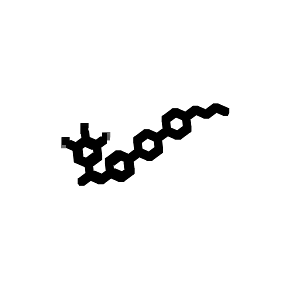 CCCCC1CCC(C2CCC(c3ccc(C=C(C)c4cc(F)c(F)c(F)c4)cc3)CC2)CC1